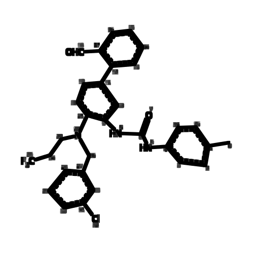 Cc1ccc(NC(=O)Nc2cc(-c3ccccc3C=O)ccc2N(CCC(F)(F)F)Cc2cccc(Cl)c2)cc1